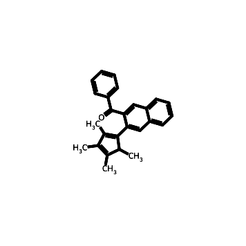 CC1=C(C)C(C)C(c2cc3ccccc3cc2C(=O)c2ccccc2)=C1C